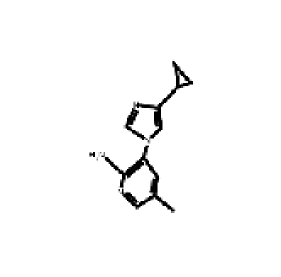 Cc1cnc(N)c(-n2cnc(C3CC3)c2)c1